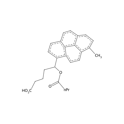 CCCC(=O)OC(CCCC(=O)O)c1ccc2ccc3ccc(C)c4ccc1c2c34